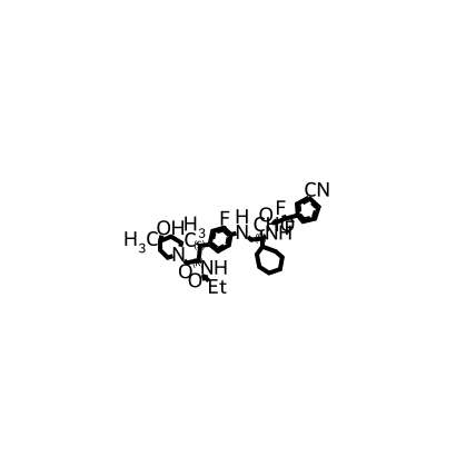 CCC(=O)N[C@@H](C(=O)N1CCC(C)(O)CC1)[C@@H](C)c1ccc(NC[C@](C=O)(NC(=O)C(F)(F)c2cccc(C#N)c2)C2CCCCCC2)c(F)c1